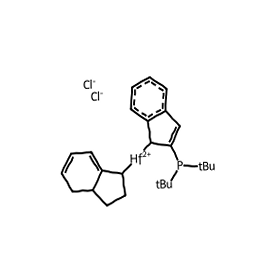 CC(C)(C)P(C1=Cc2ccccc2[CH]1[Hf+2][CH]1CCC2CC=CC=C21)C(C)(C)C.[Cl-].[Cl-]